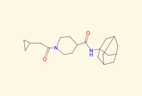 O=C(NC12CC3CC(CC(C3)C1)C2)C1CCN(C(=O)CC2CC2)CC1